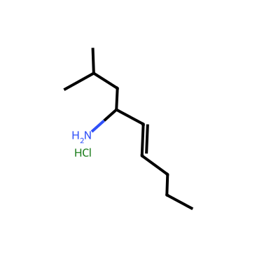 CCCC=CC(N)CC(C)C.Cl